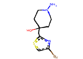 NN1CCC(O)(c2nc(Br)cs2)CC1